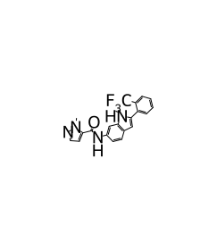 Cn1nccc1C(=O)Nc1ccc2cc(-c3ccccc3C(F)(F)F)[nH]c2c1